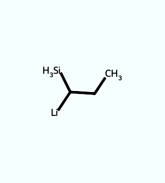 [Li][CH]([SiH3])CC